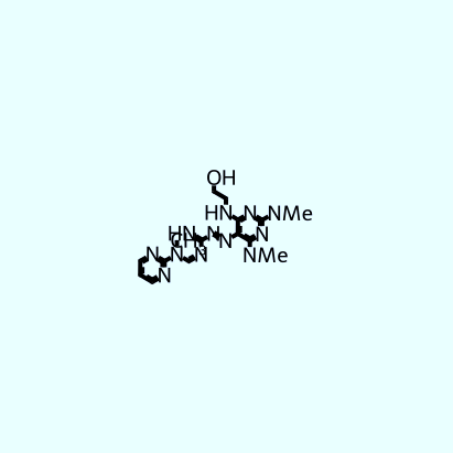 CNc1nc(NC)c(/N=N/C(=N)/N=C\N(C)c2ncccn2)c(NCCO)n1